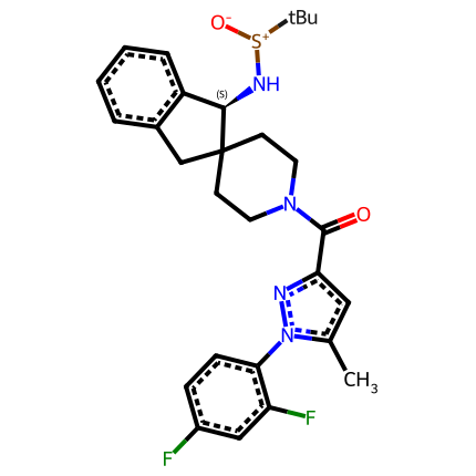 Cc1cc(C(=O)N2CCC3(CC2)Cc2ccccc2[C@H]3N[S+]([O-])C(C)(C)C)nn1-c1ccc(F)cc1F